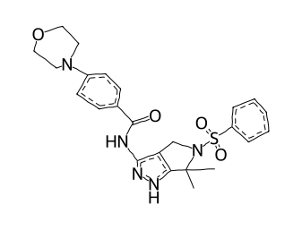 CC1(C)c2[nH]nc(NC(=O)c3ccc(N4CCOCC4)cc3)c2CN1S(=O)(=O)c1ccccc1